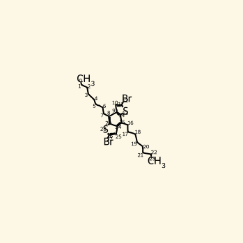 CCCCCCCCc1c2cc(Br)sc2c(CCCCCCCC)c2cc(Br)sc12